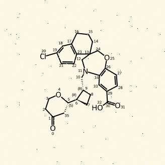 O=C1CCO[C@H]([C@@H]2CC[C@H]2CN2CC3(CCCc4cc(Cl)ccc43)COc3ccc(C(=O)O)cc32)C1